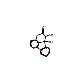 O=C1Oc2cccc(O)c2C(O)(c2ccccc2)C1O